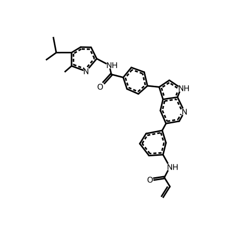 C=CC(=O)Nc1cccc(-c2cnc3[nH]cc(-c4ccc(C(=O)Nc5ccc(C(C)C)c(C)n5)cc4)c3c2)c1